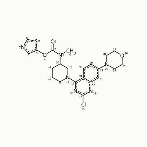 CN(C(=O)Oc1cncs1)C1CCCN(c2nc(Cl)nc3cc(N4CCOCC4)ccc23)C1